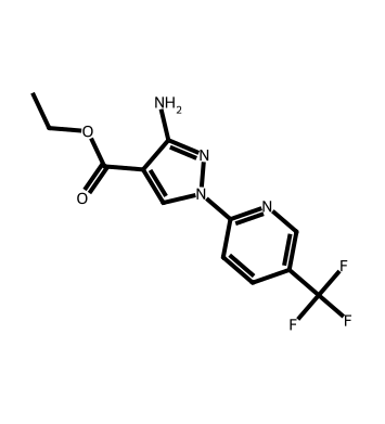 CCOC(=O)c1cn(-c2ccc(C(F)(F)F)cn2)nc1N